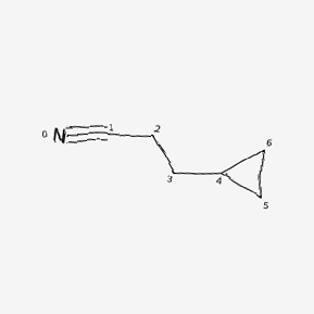 N#CCC[C]1CC1